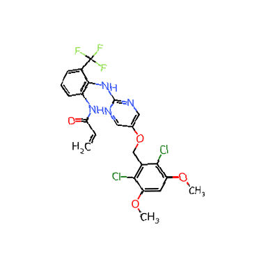 C=CC(=O)Nc1cccc(C(F)(F)F)c1Nc1ncc(OCc2c(Cl)c(OC)cc(OC)c2Cl)cn1